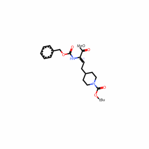 COC(=O)/C(=C/CC1CCN(C(=O)OC(C)(C)C)CC1)NC(=O)OCc1ccccc1